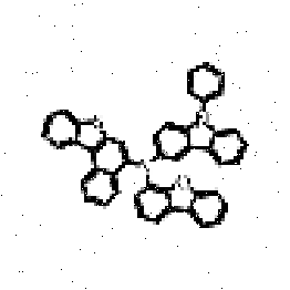 c1ccc(-n2c3ccccc3c3cc(N(c4cc5sc6ccccc6c5c5ccccc45)c4cccc5c4oc4ccccc45)ccc32)cc1